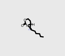 CCCCC/C=C1\[C@H]2CCOC(=O)N12